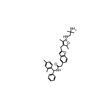 CC1=C(Cc2cc3cc(CC(=O)NC(c4ccccc4)c4ccc(C)cc4C)ccc3o2)C(C)ON1NCC(C)(C)N